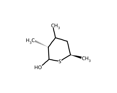 CC1C[C@@H](C)SC(O)[C@@H]1C